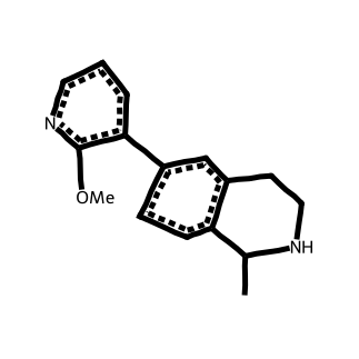 COc1ncccc1-c1ccc2c(c1)CCNC2C